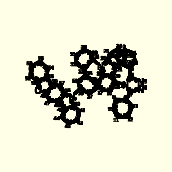 c1ccc(-c2nnc(-c3ccccc3)n2-c2cccc3c2c2ccccc2n3-c2ccccc2-c2cccc(-n3c4ccccc4c4cc5oc6ccccc6c5cc43)c2)cc1